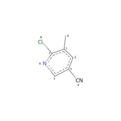 Cc1cc(C#N)cnc1Cl